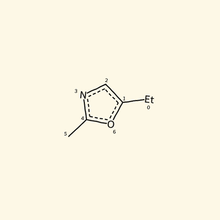 CCc1cnc(C)o1